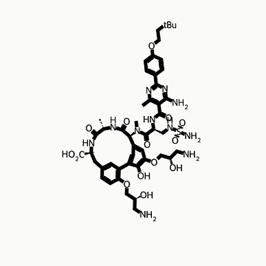 Cc1nc(-c2ccc(OCCC(C)(C)C)cc2)nc(N)c1C(=O)N[C@@H](CNS(N)(=O)=O)C(=O)N(C)[C@@H]1C(=O)N[C@@H](C)C(=O)N[C@H](C(=O)O)Cc2ccc(OC[C@H](O)CN)c(c2)-c2cc1cc(OC[C@H](O)CN)c2O